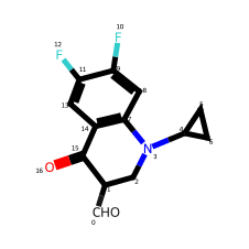 O=CC1CN(C2CC2)c2cc(F)c(F)cc2C1=O